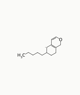 CCCCCC1[CH]C2=C(CC1)COC=C2